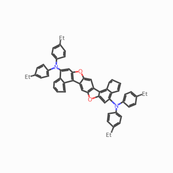 CCc1ccc(N(c2ccc(CC)cc2)c2cc3oc4cc5c(cc4c3c3ccccc23)oc2cc(N(c3ccc(CC)cc3)c3ccc(CC)cc3)c3ccccc3c25)cc1